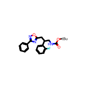 CC(C)(C)OC(=O)NCC(Cc1nc(-c2ccccc2)no1)c1ccccc1F